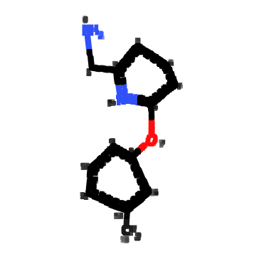 NCc1cccc(Oc2cccc(C(F)(F)F)c2)n1